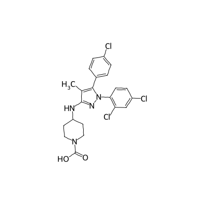 Cc1c(NC2CCN(C(=O)O)CC2)nn(-c2ccc(Cl)cc2Cl)c1-c1ccc(Cl)cc1